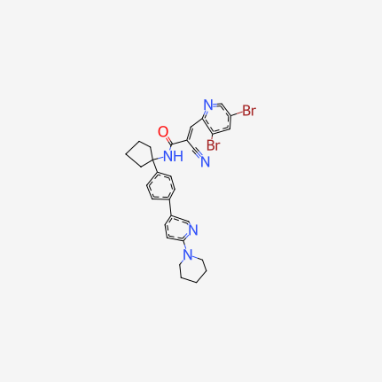 N#C/C(=C\c1ncc(Br)cc1Br)C(=O)NC1(c2ccc(-c3ccc(N4CCCCC4)nc3)cc2)CCCC1